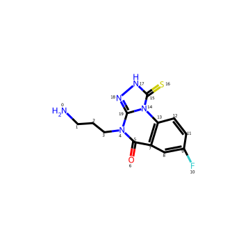 NCCCn1c(=O)c2cc(F)ccc2n2c(=S)[nH]nc12